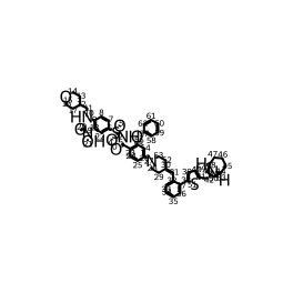 O=C(NS(=O)(=O)c1ccc(NCC2CCOCC2)c([N+](=O)O)c1)c1ccc(N2CCC(=Cc3ccccc3-c3ccc(CN4[C@@H]5CCC[C@H]4CC5)s3)CC2)cc1Oc1ccccc1